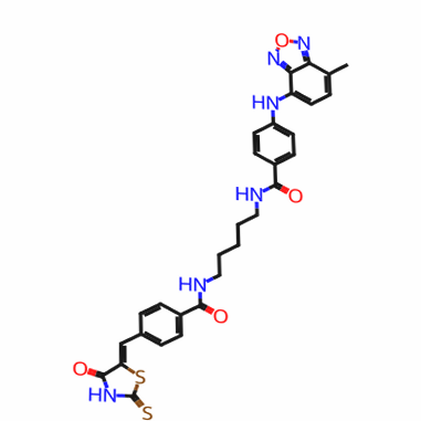 Cc1ccc(Nc2ccc(C(=O)NCCCCCNC(=O)c3ccc(/C=C4\SC(=S)NC4=O)cc3)cc2)c2nonc12